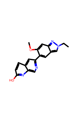 CCn1cc2cc(-c3cc4ccc(O)nc4cn3)c(OC)cc2n1